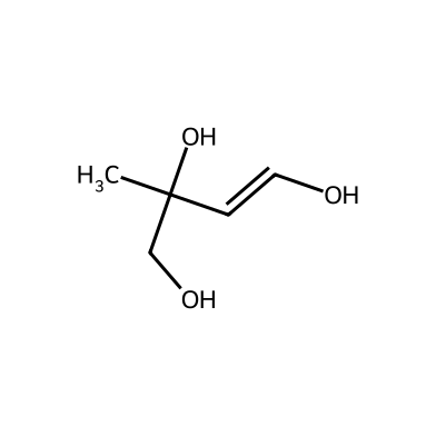 CC(O)(C=CO)CO